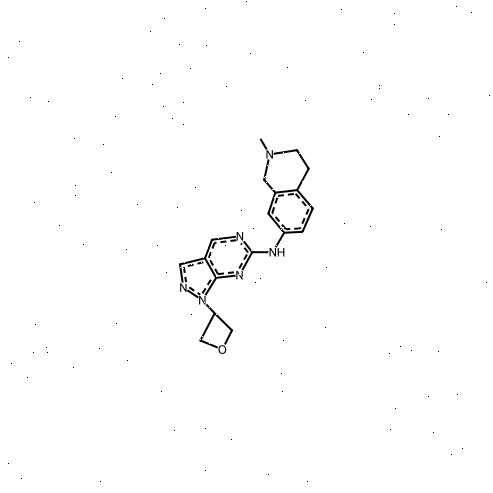 CN1CCc2ccc(Nc3ncc4cnn(C5COC5)c4n3)cc2C1